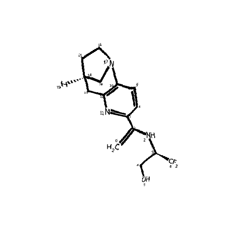 C=C(N[C@H](CO)C(F)(F)F)c1ccc2c(n1)C[C@H]1CCN2C1